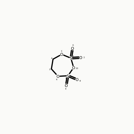 O=S1(=O)OCCOS(=O)(=O)O1